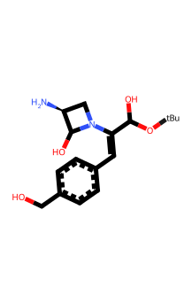 CC(C)(C)OC(O)/C(=C/c1ccc(CO)cc1)N1C[C@H](N)C1O